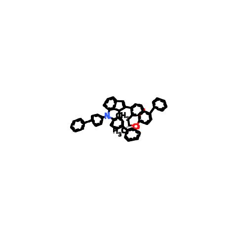 C[C@H](Cc1ccccc1C1=Cc2cccc3c2C1(C)c1cc(-c2ccccc2)ccc1N3c1ccc(-c2ccccc2)cc1)Oc1ccc(-c2ccccc2)cc1